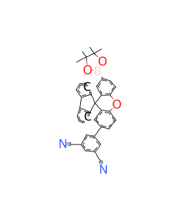 CC1(C)OB(c2ccc3c(c2)C2(c4cc(-c5cc(C#N)cc(C#N)c5)ccc4O3)c3ccccc3-c3ccccc32)OC1(C)C